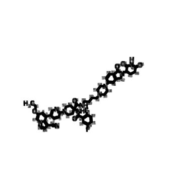 CCOc1cc(-c2ccc(N3CCC(NC(=O)c4cc(F)ccc4F)(C(=O)NCCCCN4CCN(c5ccc6c(c5)CN(C5CCC(=O)NC5=O)C6=O)CC4)CC3)nc2)c2c(C#N)cnn2c1